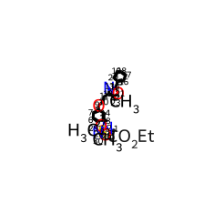 CCOC(=O)CN(Cc1cccc(OCCc2nc(-c3ccccc3)oc2C)c1)S(=O)(=O)N(C)C